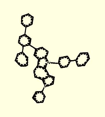 c1ccc(-c2ccc(-n3c4ccc(-c5cc(-c6ccccc6)ccc5-c5ccccc5)cc4c4ccc5c(ccn5-c5ccccc5)c43)cc2)cc1